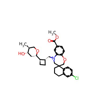 COC(=O)c1ccc2c(c1)N(C[C@@H]1CC[C@H]1[C@@H]1C[C@H](O)[C@@H](C)CO1)CC1(CCCc3cc(Cl)ccc31)CO2